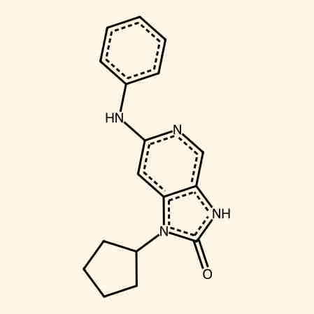 O=c1[nH]c2cnc(Nc3ccccc3)cc2n1C1CCCC1